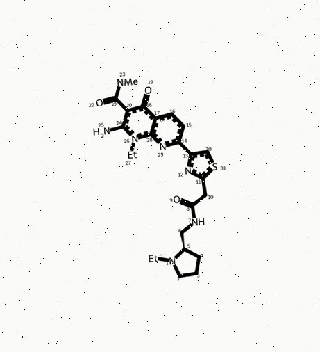 CCN1CCC[C@@H]1CNC(=O)Cc1nc(-c2ccc3c(=O)c(C(=O)NC)c(N)n(CC)c3n2)cs1